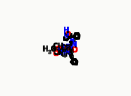 CC(C)(C)ON(C=O)C(C)(C)C(=O)N[C@H](CCc1ccccc1)C(=O)Nc1cn(C(C=O)(c2ccccc2)C2CCCN2)cn1